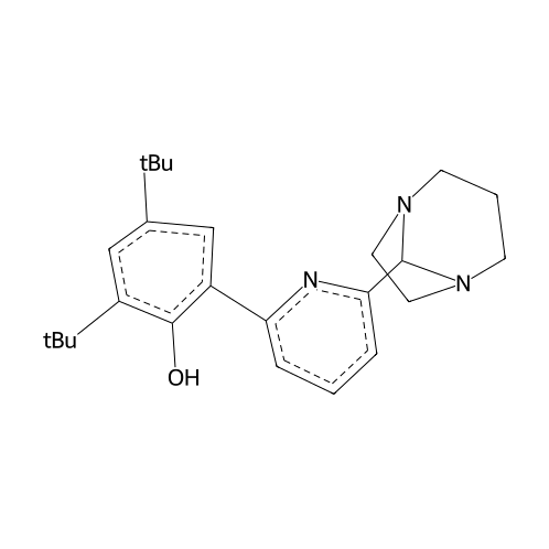 CC(C)(C)c1cc(-c2cccc(C3N4CCCN3CC4)n2)c(O)c(C(C)(C)C)c1